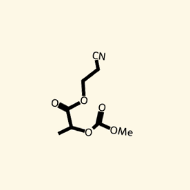 COC(=O)OC(C)C(=O)OCCC#N